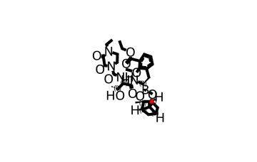 CCOC(=O)c1cccc(C[C@H](NC(=O)[C@H](NC(=O)N2CCN(CC)C(=O)C2=O)[C@@H](C)O)B2O[C@@H]3C[C@@H]4C[C@@H](C4(C)C)[C@]3(C)O2)c1OC